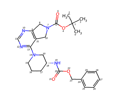 CC(C)(C)OC(=O)N1Cc2ncnc(N3CCC[C@@H](NC(=O)OCc4ccccc4)C3)c2C1